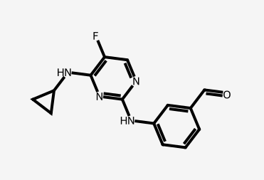 O=Cc1cccc(Nc2ncc(F)c(NC3CC3)n2)c1